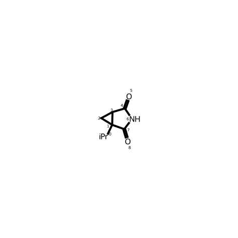 CC(C)C12CC1C(=O)NC2=O